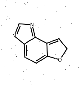 C1=Nc2ccc3c(c2=N1)=CCO3